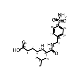 CC(C)C[C@H](NCCCC(=O)O)C(=O)NCc1ccc(S(N)(=O)=O)cc1